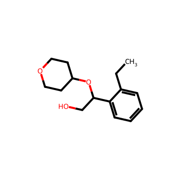 CCc1ccccc1C(CO)OC1CCOCC1